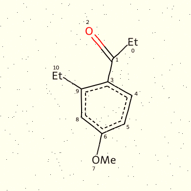 CCC(=O)c1ccc(OC)cc1CC